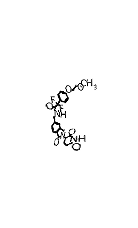 COCCOc1ccc(C(F)(F)C(=O)NCc2ccc3c(c2)CN(C2CCC(=O)NC2=O)C3=O)cc1